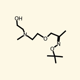 CC(COCCN(C)CCO)=NOC(C)(C)C